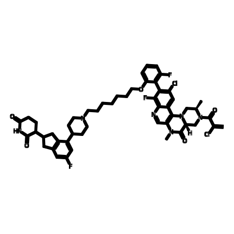 C=C(Cl)C(=O)N1C[C@@H]2C(=O)N(C)c3cnc4c(F)c(-c5c(F)cccc5OCCCCCCCN5CCC(c6cc(F)cc7c6CC(C6CCC(=O)NC6=O)C7)CC5)c(Cl)cc4c3N2C[C@H]1C